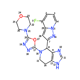 Fc1cccn2nc(C3c4nc[nH]c4CCN3c3nnc(N4CCOCC4)o3)cc12